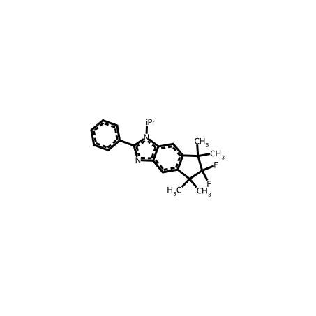 CC(C)n1c(-c2ccccc2)nc2cc3c(cc21)C(C)(C)C(F)(F)C3(C)C